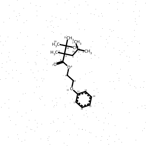 CC(C)CC(C)(C(=O)OCCOc1ccccc1)C(C)(C)C